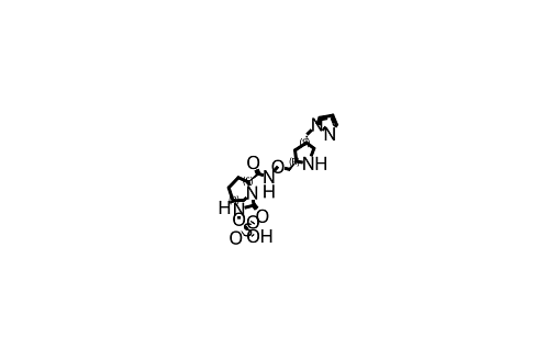 O=C(NOC[C@H]1C[C@H](Cn2cccn2)CN1)[C@@H]1CC[C@@H]2CN1C(=O)N2OS(=O)(=O)O